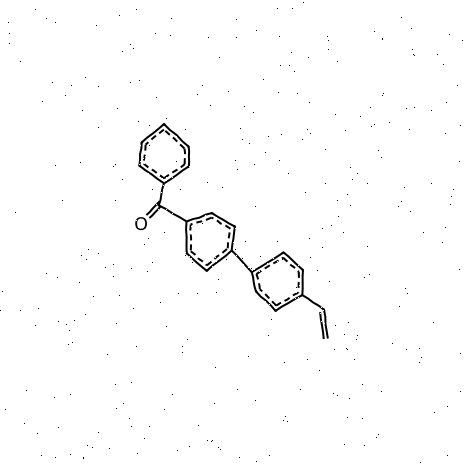 C=Cc1ccc(-c2ccc(C(=O)c3ccccc3)cc2)cc1